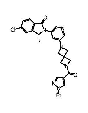 CCn1cc(C(=O)N2CC3(C2)CN(c2cncc(N4C(=O)c5ccc(Cl)cc5[C@H]4C)c2)C3)cn1